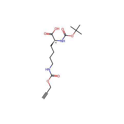 C#CCOC(=O)NCCCC[C@H](NC(=O)OC(C)(C)C)C(=O)O